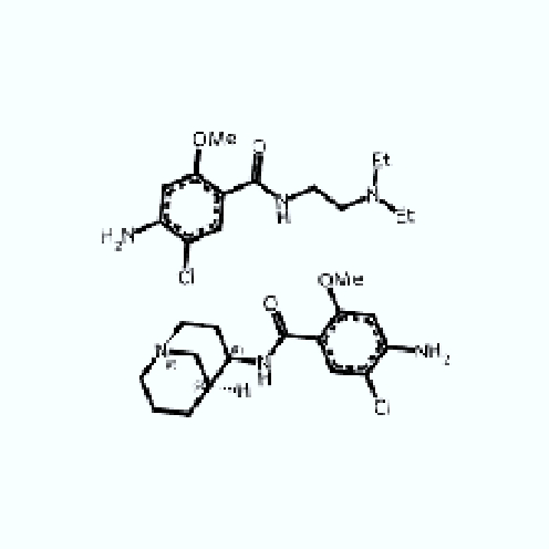 CCN(CC)CCNC(=O)c1cc(Cl)c(N)cc1OC.COc1cc(N)c(Cl)cc1C(=O)N[C@@H]1CC[N@]2CCC[C@H]1C2